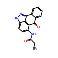 CC(C)CC(=O)Nc1ccc2[nH]nc3c2c1C(=O)c1ccccc1-3